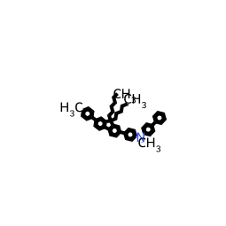 CCCCCCC1(CCCCCC)c2cc(-c3ccc(C)cc3)ccc2-c2ccc(-c3ccc(N(C)c4ccc(-c5ccccc5)cc4)cc3)cc21